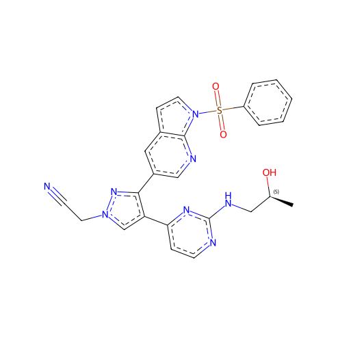 C[C@H](O)CNc1nccc(-c2cn(CC#N)nc2-c2cnc3c(ccn3S(=O)(=O)c3ccccc3)c2)n1